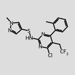 Cc1ccccc1-c1nc(NSc2cnn(C)c2)nc(Cl)c1CC(F)(F)F